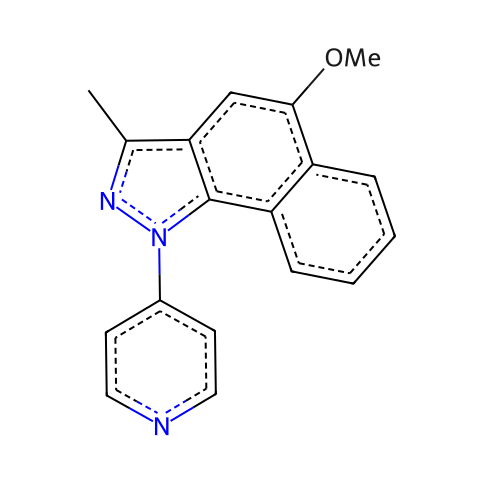 COc1cc2c(C)nn(-c3ccncc3)c2c2ccccc12